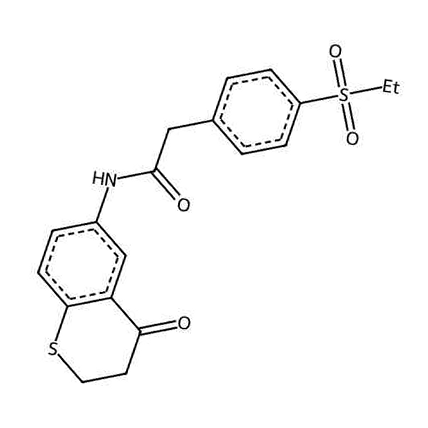 CCS(=O)(=O)c1ccc(CC(=O)Nc2ccc3c(c2)C(=O)CCS3)cc1